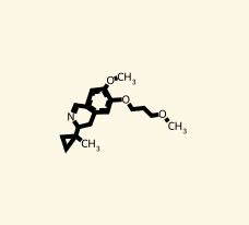 COCCCOc1cc2c(cc1OC)C=NC(C1(C)CC1)C2